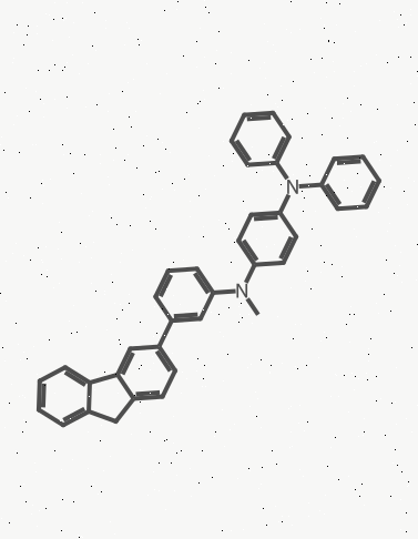 CN(c1ccc(N(c2ccccc2)c2ccccc2)cc1)c1cccc(-c2ccc3c(c2)-c2ccccc2C3)c1